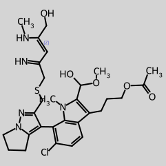 CN/C(=C\C(=N)CSCc1nn2c(c1-c1c(Cl)ccc3c(CCCOC(C)=O)c(C(O)OC)n(C)c13)CCC2)CO